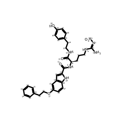 N/C(=N/[N+](=O)[O-])NCCC[C@@H](NC(=O)c1cc2cc(OCCc3ccccc3)ccc2[nH]1)C(=O)NCCc1ccc(O)cc1